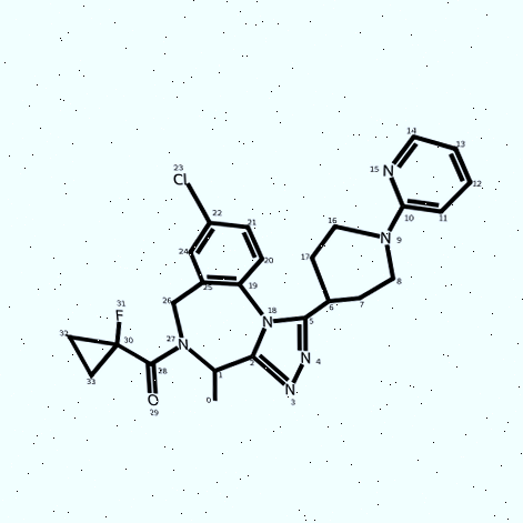 CC1c2nnc(C3CCN(c4ccccn4)CC3)n2-c2ccc(Cl)cc2CN1C(=O)C1(F)CC1